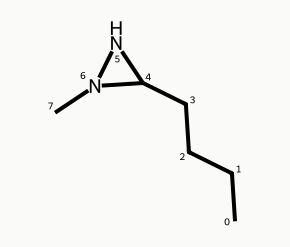 CCCCC1NN1C